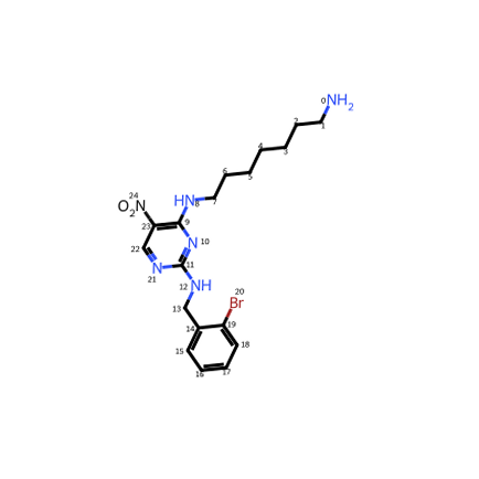 NCCCCCCCNc1nc(NCc2ccccc2Br)ncc1[N+](=O)[O-]